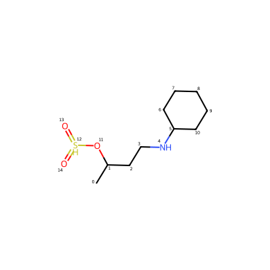 CC(CCNC1CCCCC1)O[SH](=O)=O